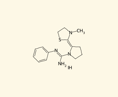 CN1CCS/C1=C1/CCCN1/C(N)=N/c1ccccc1.I